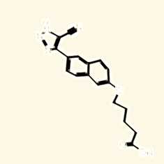 N#Cc1[nH]nnc1-c1ccc2cc(OCCCCC(=O)O)ccc2c1